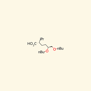 CCCCOC[C@H](CC[C@H](C(=O)O)C(C)C)OCCCC